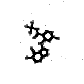 [2H]C([2H])([2H])NC(=O)c1nnc(Cl)cc1Nc1csc2ccn(CC)c(=O)c12